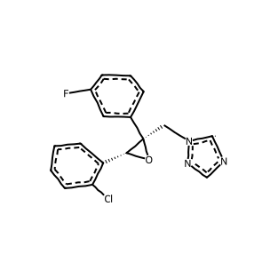 Fc1cccc([C@@]2(Cn3[c]ncn3)O[C@@H]2c2ccccc2Cl)c1